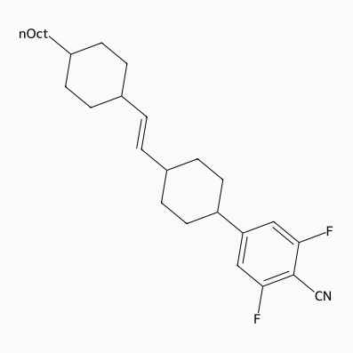 CCCCCCCCC1CCC(/C=C/C2CCC(c3cc(F)c(C#N)c(F)c3)CC2)CC1